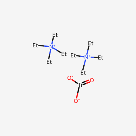 CC[N+](CC)(CC)CC.CC[N+](CC)(CC)CC.[O]=[Ti]([O-])[O-]